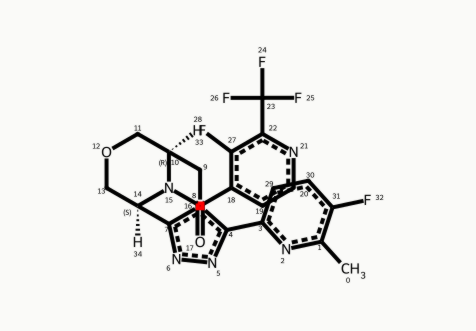 Cc1nc(-c2nnc3n2C[C@@H]2COC[C@H]3N2C(=O)c2ccnc(C(F)(F)F)c2F)ccc1F